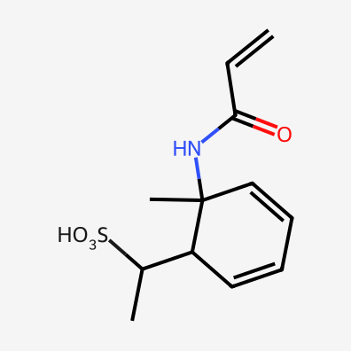 C=CC(=O)NC1(C)C=CC=CC1C(C)S(=O)(=O)O